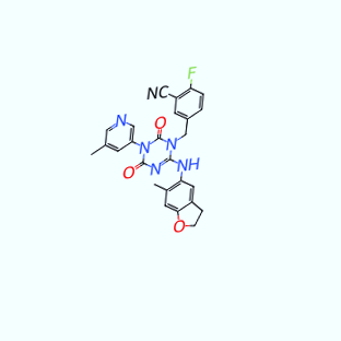 Cc1cncc(-n2c(=O)nc(Nc3cc4c(cc3C)OCC4)n(Cc3ccc(F)c(C#N)c3)c2=O)c1